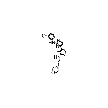 Cc1c(-c2ccnc(Nc3cccc(Cl)c3)n2)ccnc1NCCCN1CCOCC1